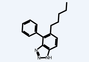 CCCCCc1ccc2[nH]nnc2c1-c1ccccc1